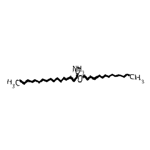 CCCCCCCCCCCCCCCCCC(=O)OCCCCCCCCCCCCCC.N